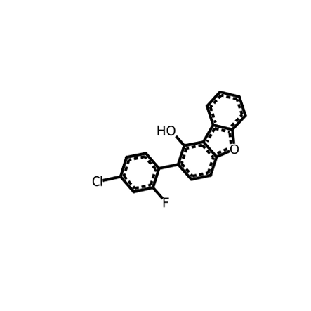 Oc1c(-c2ccc(Cl)cc2F)ccc2oc3ccccc3c12